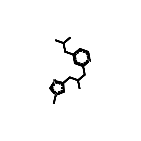 CC(C)Cc1ccnc(CC(C)Cc2cn(C)cn2)c1